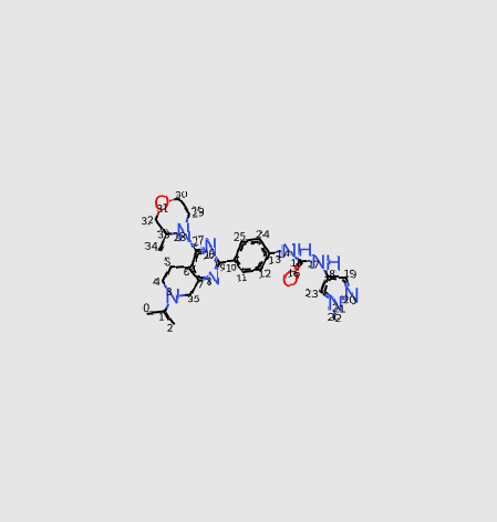 CC(C)N1CCc2c(nc(-c3ccc(NC(=O)Nc4cnn(C)c4)cc3)nc2N2CCOC[C@@H]2C)C1